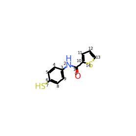 O=C(Nc1ccc(S)cc1)c1cccs1